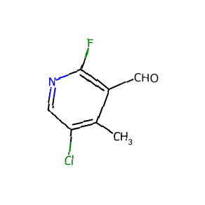 Cc1c(Cl)cnc(F)c1C=O